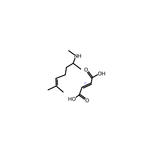 CNC(C)CCC=C(C)C.O=C(O)/C=C/C(=O)O